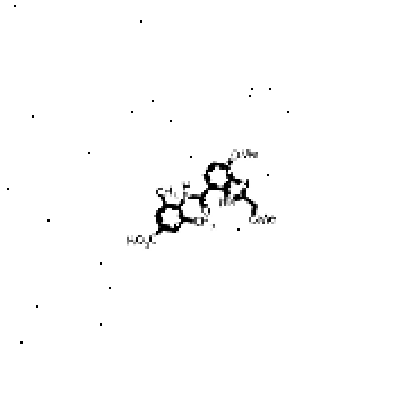 COCc1nc2c(OC)ccc(C(=O)Nc3c(C)cc(C(=O)O)cc3C)c2[nH]1